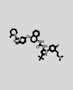 CC1CCCCN1c1nnc2ccc(O[C@@H]3CC[C@H](NC(=O)Nc4cc(C(C)(C)C)nn4-c4ccc(F)c(CCN(C)C)c4)c4ccccc43)cn12